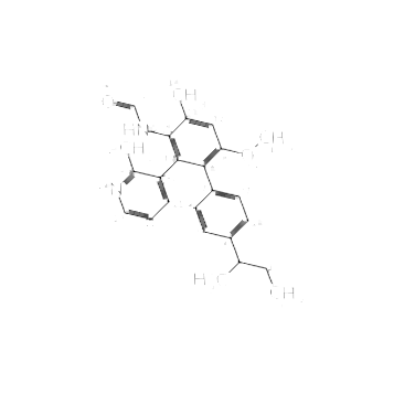 CCC(C)c1ccc(-c2c(OC)cc(C)c(NC=O)c2-c2cccnc2C)cc1